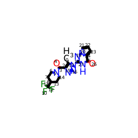 Cc1c(C(=O)N2CCC(C(F)(F)F)CC2)nnn1-c1nn2cccc2c(=O)[nH]1